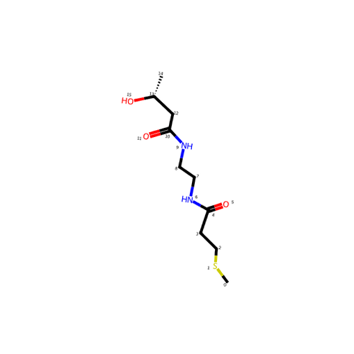 CSCCC(=O)NCCNC(=O)C[C@@H](C)O